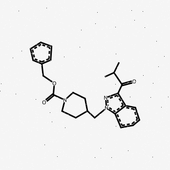 CC(C)C(=O)c1nn(CC2CCN(C(=O)OCc3ccccc3)CC2)c2ccccc12